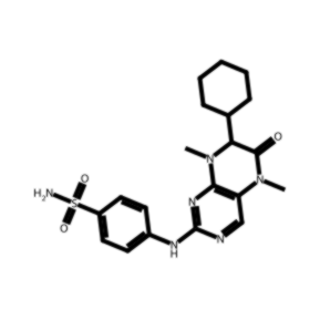 CN1C(=O)C(C2CCCCC2)N(C)c2nc(Nc3ccc(S(N)(=O)=O)cc3)ncc21